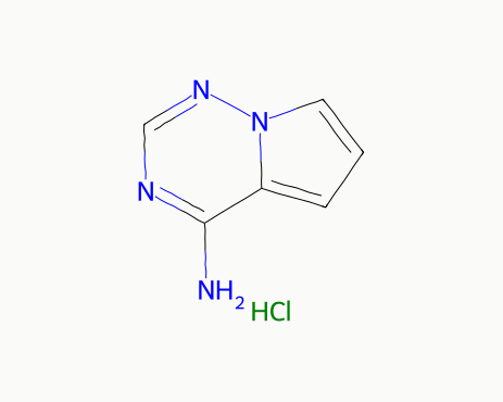 Cl.Nc1ncnn2cccc12